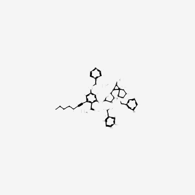 CCCCCC#Cc1cc(OCc2ccccc2)cc(OC2O[C@H]([C@@]3(O)C(O)C34CCCC4)[C@@H](OCc3ccccc3)[C@@H]2OCc2ccccc2)c1C(=O)O